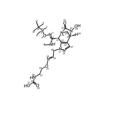 CN/C(=N\O[Si](C)(C)C(C)(C)C)[C@@H]1c2c(cnn2C/C=N/OCCNC(=O)O)[C@@H]2CN1C(=O)N2O